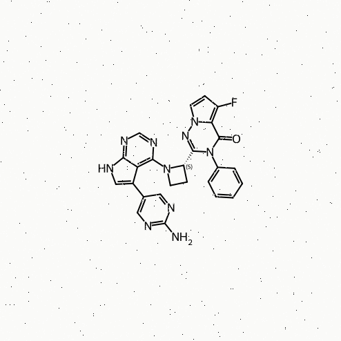 Nc1ncc(-c2c[nH]c3ncnc(N4CC[C@H]4c4nn5ccc(F)c5c(=O)n4-c4ccccc4)c23)cn1